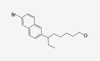 CCC(CCCCC[O])c1ccc2cc(Br)ccc2c1